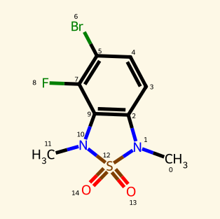 CN1c2ccc(Br)c(F)c2N(C)S1(=O)=O